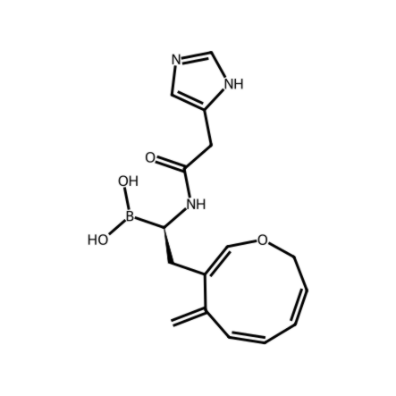 C=C1/C=C\C=C/CO/C=C\1C[C@H](NC(=O)Cc1cnc[nH]1)B(O)O